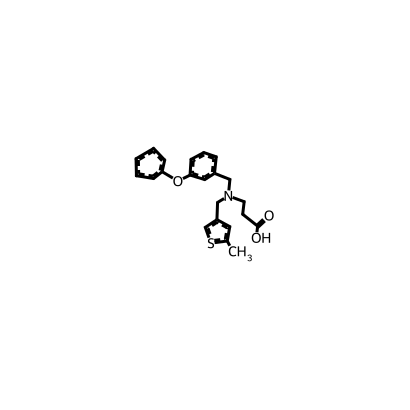 Cc1cc(CN(CCC(=O)O)Cc2cccc(Oc3ccccc3)c2)cs1